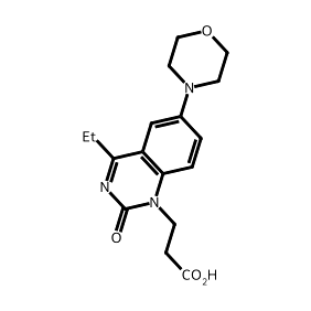 CCc1nc(=O)n(CCC(=O)O)c2ccc(N3CCOCC3)cc12